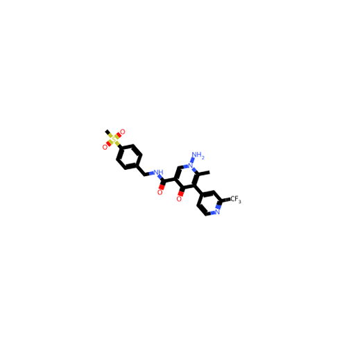 Cc1c(-c2ccnc(C(F)(F)F)c2)c(=O)c(C(=O)NCc2ccc(S(C)(=O)=O)cc2)cn1N